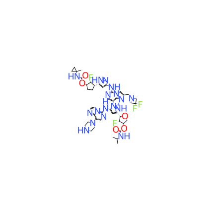 CC(C)NC(=O)O[C@H]1CO[C@@H](c2cc(Nc3ncc(N4CCNCC4)c4nccn34)[n+](-c3cnc(Nc4cc([C@@H]5CC[C@H](OC(=O)NC6(C)CC6)[C@H]5F)[nH]n4)n4cc(CN5CC(F)(F)C5)nc34)[nH]2)[C@H]1F